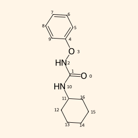 O=C(NOc1ccccc1)NC1CCCCC1